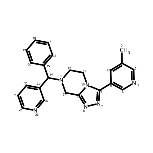 Cc1cncc(-c2nnc3n2CCN(C(c2ccccc2)c2cccnc2)C3)c1